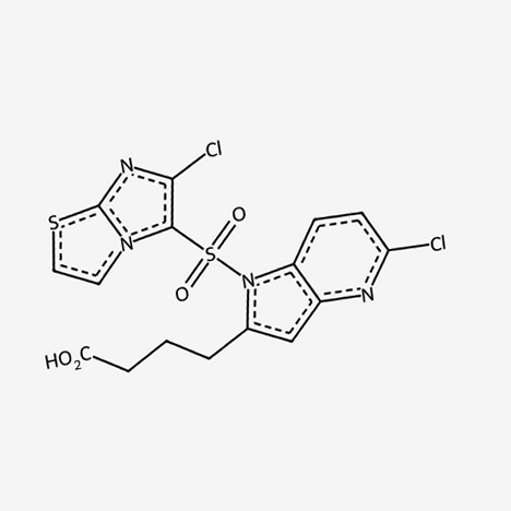 O=C(O)CCCc1cc2nc(Cl)ccc2n1S(=O)(=O)c1c(Cl)nc2sccn12